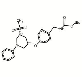 CC(C)(C)OC(=O)NCc1ccc(O[C@H]2C[C@@H](S(C)(=O)=O)CN(c3ccccc3)C2)cc1